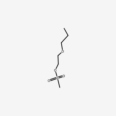 CCCOCCOS(C)(=O)=O